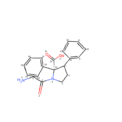 NCC(=O)N1CCC(c2ccccc2)[C@]1(C(=O)O)c1ccccc1